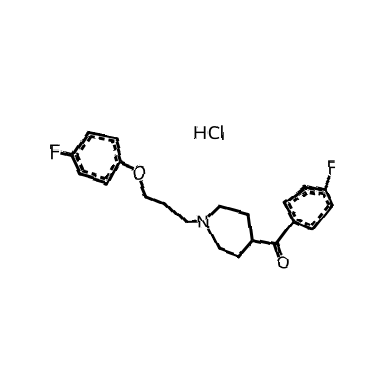 Cl.O=C(c1ccc(F)cc1)C1CCN(CCCOc2ccc(F)cc2)CC1